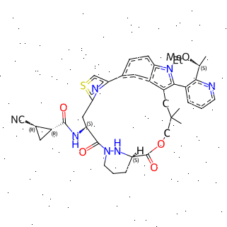 CCn1c(-c2cccnc2[C@H](C)OC)c2c3cc(ccc31)-c1csc(n1)C[C@H](NC(=O)[C@@H]1C[C@H]1C#N)C(=O)N1CCC[C@H](N1)C(=O)OCC(C)(C)C2